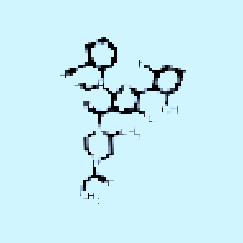 C=CC(=O)N1CCN(/C(=N/C)c2cc(Cl)c(-c3c(O)cccc3F)nc2N(C=O)c2ccccc2C#N)C(C)C1